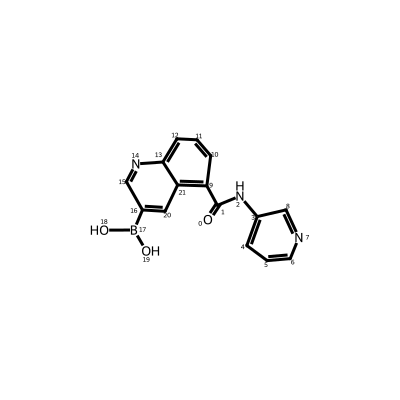 O=C(Nc1cccnc1)c1cccc2ncc(B(O)O)cc12